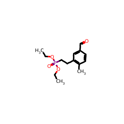 CCOP(=O)(CCc1cc(C=O)ccc1C)OCC